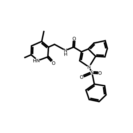 Cc1cc(C)c(CNC(=O)c2cn(S(=O)(=O)c3ccccc3)c3ccccc23)c(=O)[nH]1